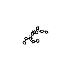 C1=CC2c3cc(-c4nc(-c5cccc(-c6ccccc6)c5)nc(-c5cccc(-c6ccccc6)c5)n4)ccc3OC2c2c1n(-c1ccc(-c3ccccc3)cc1)c1ccccc21